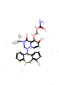 C[C@@H](N1CN([C@@H]2c3ccccc3SCc3c(Cl)cccc32)n2ccc(=O)c(OCOC(N)=O)c2C1=O)C(F)(F)F